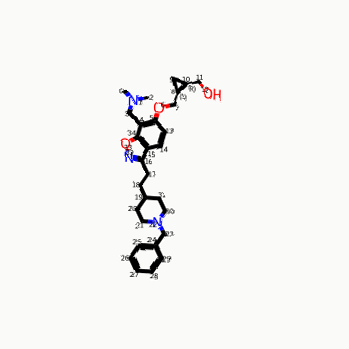 CN(C)Cc1c(OC[C@H]2C[C@H]2CO)ccc2c(CCC3CCN(Cc4ccccc4)CC3)noc12